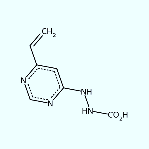 C=Cc1cc(NNC(=O)O)ncn1